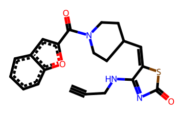 C#CCNC1=NC(=O)SC1=CC1CCN(C(=O)c2cc3ccccc3o2)CC1